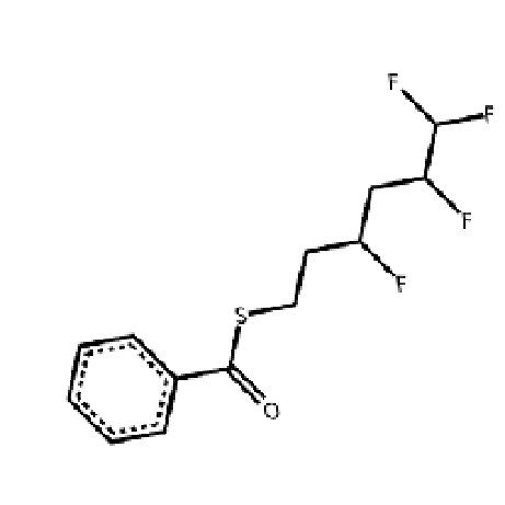 O=C(SCCC(F)CC(F)C(F)F)c1ccccc1